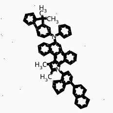 Cc1c(C)n(-c2ccc(-c3ccc4ccccc4c3)c3ccccc23)c2c3ccccc3c3cc(N(c4ccccc4)c4ccc5c(c4)C(C)(C)c4ccccc4-5)c4ccccc4c3c12